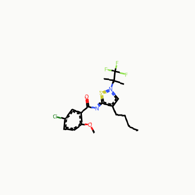 CCCCc1cn(C(C)(C)C(F)(F)F)s/c1=N\C(=O)c1cc(Cl)ccc1OC